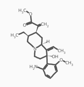 C=C(C(=O)OC)[C@H]1C[C@H]2/C(=C/C)[C@@](O)(c3c(N)cccc3OC)CCN2C[C@H]1CC